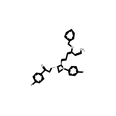 C\C=C/C(=C\C=C\[C@@H]1[C@@H](CCC(=O)c2ccc(F)cc2)CN1c1ccc(F)cc1)OCc1ccccc1